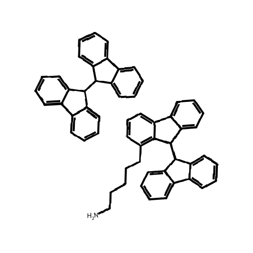 NCCCCCc1cccc2c1C(C1c3ccccc3-c3ccccc31)c1ccccc1-2.c1ccc2c(c1)-c1ccccc1C2C1c2ccccc2-c2ccccc21